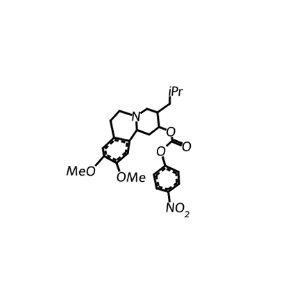 COc1cc2c(cc1OC)C1CC(OC(=O)Oc3ccc([N+](=O)[O-])cc3)C(CC(C)C)CN1CC2